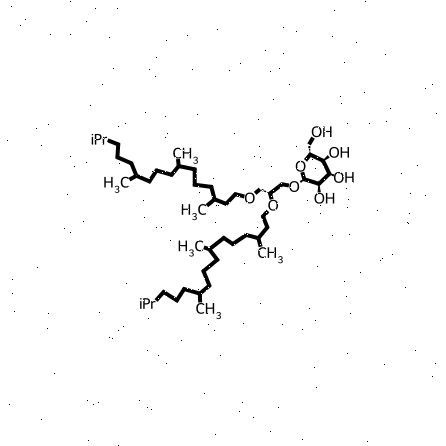 CC(C)CCCC(C)CCCC(C)CCCC(C)CCOC[C@H](CO[C@@H]1O[C@H](CO)[C@@H](O)[C@H](O)[C@H]1O)OCCC(C)CCCC(C)CCCC(C)CCCC(C)C